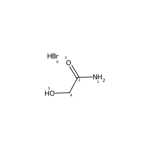 Br.NC(=O)CO